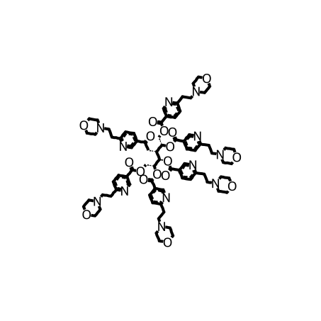 O=C(C[C@@H]([C@H](OC(=O)c1ccc(CCN2CCOCC2)nc1)[C@@H](COC(=O)c1ccc(CCN2CCOCC2)nc1)OC(=O)c1ccc(CCN2CCOCC2)nc1)[C@H](COC(=O)c1ccc(CCN2CCOCC2)nc1)OC(=O)c1ccc(CCN2CCOCC2)nc1)c1ccc(CCN2CCOCC2)nc1